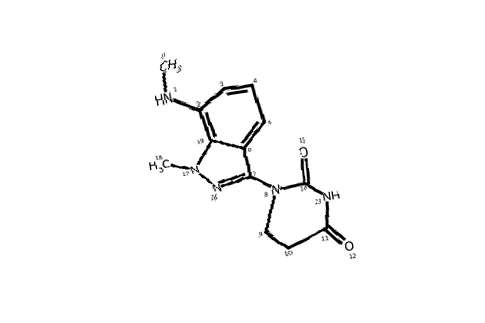 CNc1cccc2c(N3CCC(=O)NC3=O)nn(C)c12